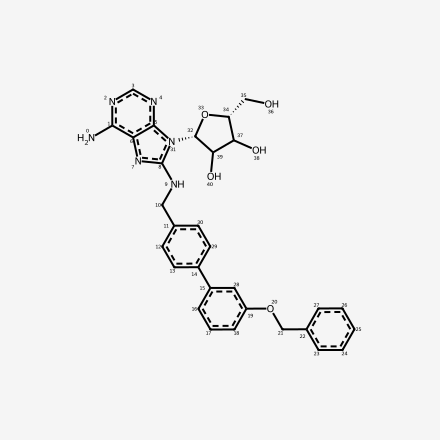 Nc1ncnc2c1nc(NCc1ccc(-c3cccc(OCc4ccccc4)c3)cc1)n2[C@@H]1O[C@H](CO)C(O)C1O